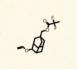 C=COC1C2CC3CC1CC(COC(=O)C(C)(F)F)(C3)C2